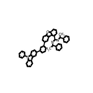 C=C(/N=C(\N=C(/C)c1ccccc1)c1cccc2oc3ccc(-c4cccc(-c5ccc6c(c5)c5ccccc5n6-c5ccccc5)c4)cc3c12)c1ccccc1